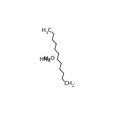 O.[CH2]CCCCCCCCCCC.[NaH]